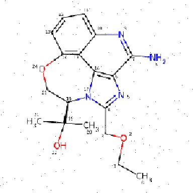 CCOCc1nc2c(N)nc3cccc4c3c2n1[C@@H](C(C)(C)O)CO4